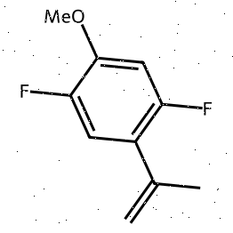 C=C(C)c1cc(F)c(OC)cc1F